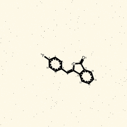 O=C1O/C(=C\c2ccc(F)cc2)c2ccccc21